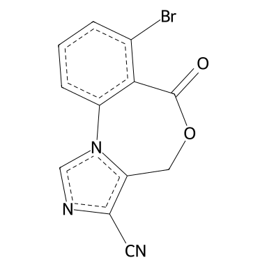 N#Cc1ncn2c1COC(=O)c1c(Br)cccc1-2